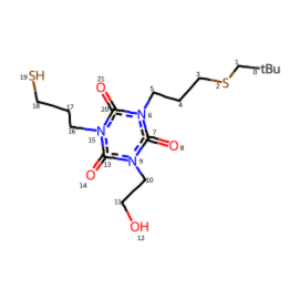 CC(C)(C)CSCCCn1c(=O)n(CCO)c(=O)n(CCCS)c1=O